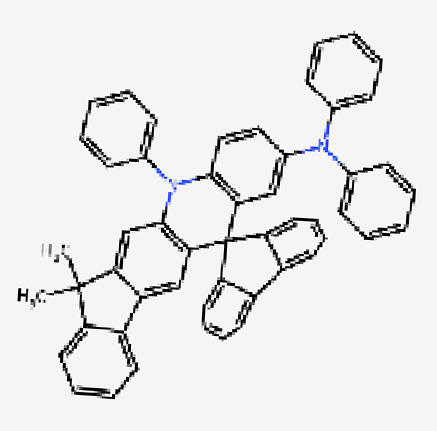 CC1(C)c2ccccc2-c2cc3c(cc21)N(c1ccccc1)c1ccc(N(c2ccccc2)c2ccccc2)cc1C31c2ccccc2-c2ccccc21